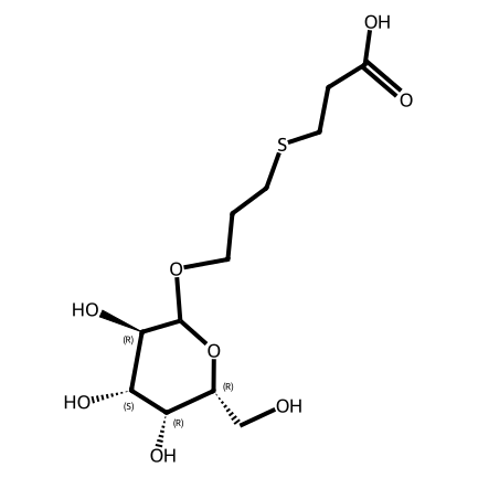 O=C(O)CCSCCCOC1O[C@H](CO)[C@H](O)[C@H](O)[C@H]1O